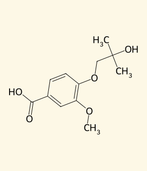 COc1cc(C(=O)O)ccc1OCC(C)(C)O